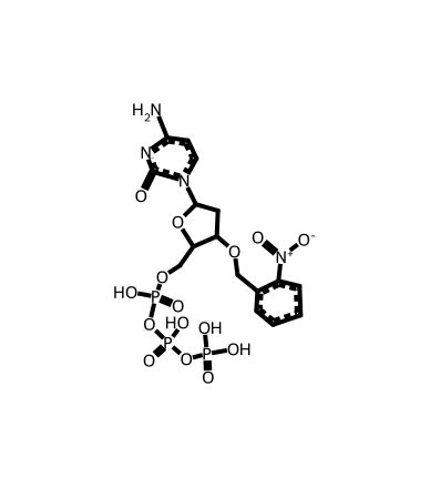 Nc1ccn(C2CC(OCc3ccccc3[N+](=O)[O-])C(COP(=O)(O)OP(=O)(O)OP(=O)(O)O)O2)c(=O)n1